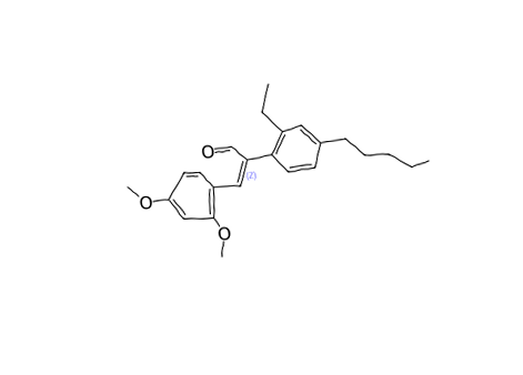 CCCCCc1ccc(/C(C=O)=C/c2ccc(OC)cc2OC)c(CC)c1